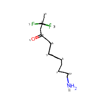 CC(F)(F)C(=O)CCCCCN